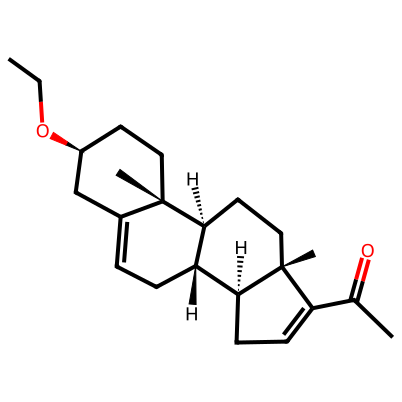 CCO[C@H]1CC[C@@]2(C)C(=CC[C@@H]3[C@@H]2CC[C@]2(C)C(C(C)=O)=CC[C@@H]32)C1